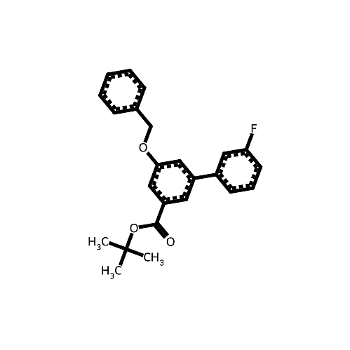 CC(C)(C)OC(=O)c1cc(OCc2ccccc2)cc(-c2cccc(F)c2)c1